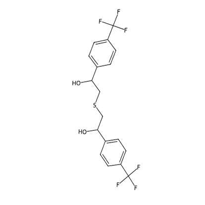 OC(CSCC(O)c1ccc(C(F)(F)F)cc1)c1ccc(C(F)(F)F)cc1